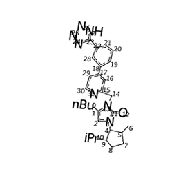 CCCCc1cn(C2C(C)CCC2C(C)C)c(=O)n1Cc1cc(-c2cccc(-c3nnn[nH]3)c2)ccn1